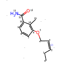 CC/C=C\COc1cccc(C(N)=O)c1C